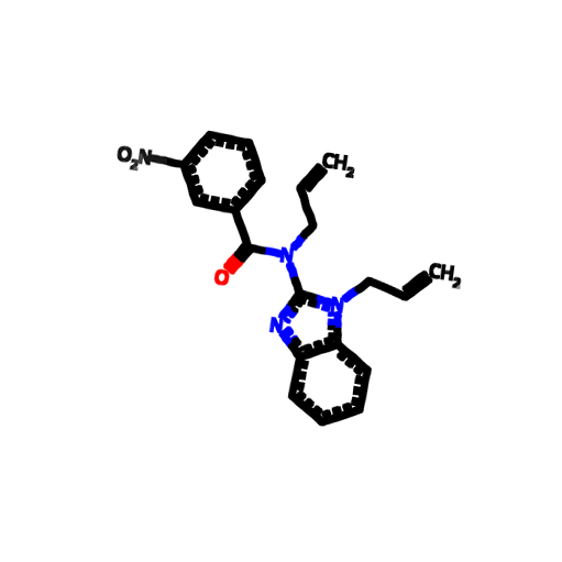 C=CCN(C(=O)c1cccc([N+](=O)[O-])c1)c1nc2ccccc2n1CC=C